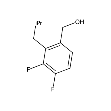 CC(C)Cc1c(CO)ccc(F)c1F